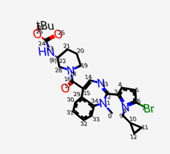 CN1C(c2ccc(Br)n2CC2CC2)=NC=C(C(=O)N2CCC[C@@H](NC(=O)OC(C)(C)C)C2)c2ccccc21